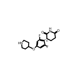 O=C1CC[C@H](c2c(F)cc(OC3CCNCC3)cc2F)C(=O)N1